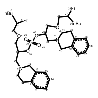 CCCCC(CC)COCC(CN1CCc2ccccc2C1)OS(=O)(=O)OC(COCC(CC)CCCC)CN1CCc2ccccc2C1